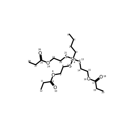 CCC[CH2][Sn]([S]CCOC(=O)CC)([S]CCOC(=O)CC)[S]CCOC(=O)CC